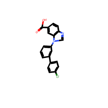 O=C(O)c1ccc2ncn(-c3cccc(-c4ccc(Cl)cc4)c3)c2c1